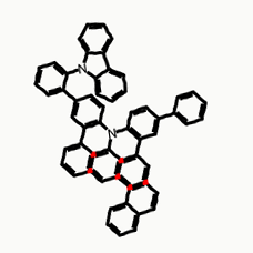 c1ccc(-c2ccc(N(c3cccc(-c4cccc5ccccc45)c3)c3ccc(-c4ccccc4-n4c5ccccc5c5ccccc54)cc3-c3ccccc3)c(-c3ccccc3)c2)cc1